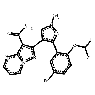 Cn1cc(-c2nn3cccnc3c2C(N)=O)c(-c2cc(Br)ccc2OC(F)F)n1